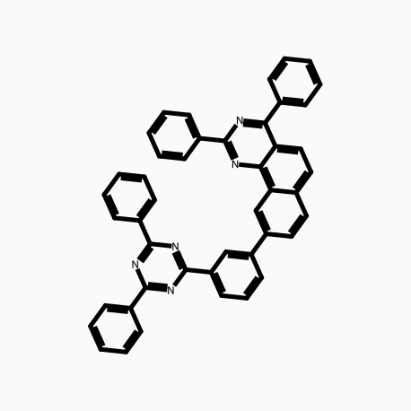 c1ccc(-c2nc(-c3ccccc3)nc(-c3cccc(-c4ccc5ccc6c(-c7ccccc7)nc(-c7ccccc7)nc6c5c4)c3)n2)cc1